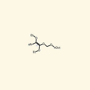 CCCCCCCCOCO/C(OCC)=C(/CCC)OCC